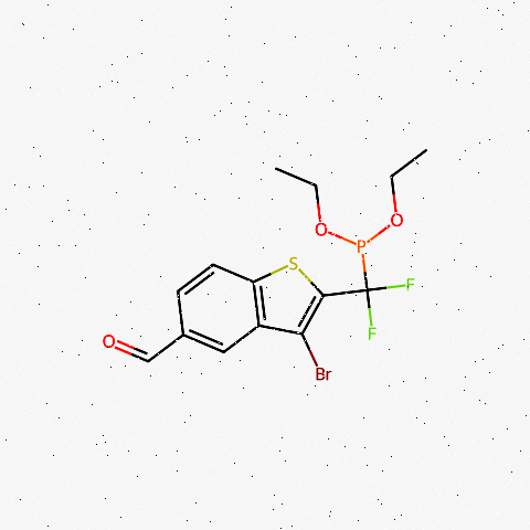 CCOP(OCC)C(F)(F)c1sc2ccc(C=O)cc2c1Br